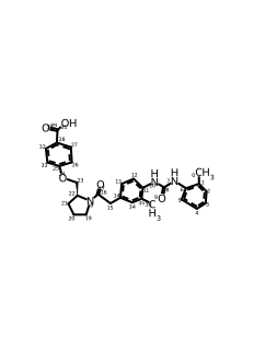 Cc1ccccc1NC(=O)Nc1ccc(CC(=O)N2CCC[C@H]2COc2ccc(C(=O)O)cc2)cc1C